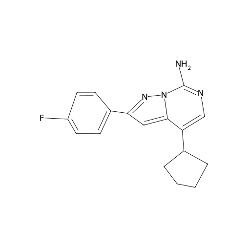 Nc1ncc(C2CCCC2)c2cc(-c3ccc(F)cc3)nn12